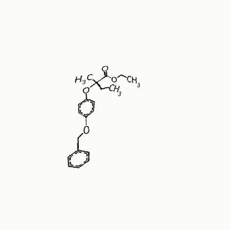 CCOC(=O)C(C)(CC)Oc1ccc(OCc2ccccc2)cc1